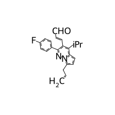 C=CCc1ccc2c(C(C)C)c(/C=C/C=O)c(-c3ccc(F)cc3)nn12